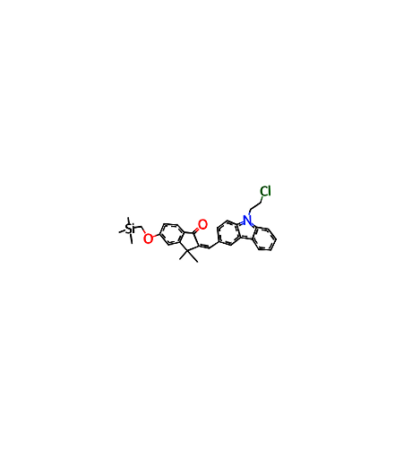 CC1(C)/C(=C/c2ccc3c(c2)c2ccccc2n3CCCl)C(=O)c2ccc(OC[Si](C)(C)C)cc21